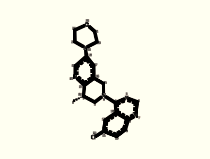 C[C@H]1CN(c2ncnc3ccc(Cl)cc23)Cc2cc(N3CCOCC3)cnc21